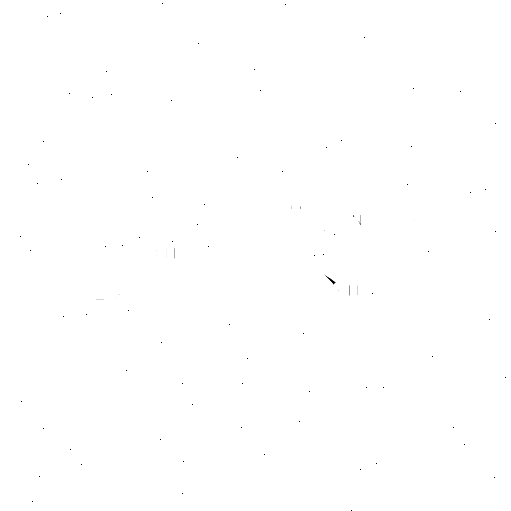 CC(C)Cc1ccc([C@H](C)C(=O)N2CCCC2)cc1